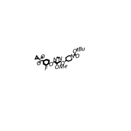 COc1c(Oc2ccc(S(=O)(=O)C3CC3)cc2F)ncnc1OC1CCN(C(=O)OC(C)(C)C)CC1